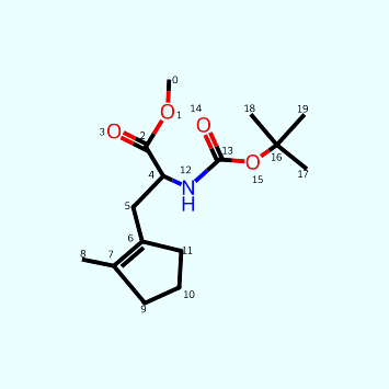 COC(=O)C(CC1=C(C)CCC1)NC(=O)OC(C)(C)C